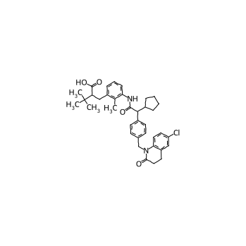 Cc1c(CC(C(=O)O)C(C)(C)C)cccc1NC(=O)C(c1ccc(CN2C(=O)CCc3cc(Cl)ccc32)cc1)C1CCCC1